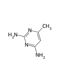 Cc1cc(N)nc(N)n1